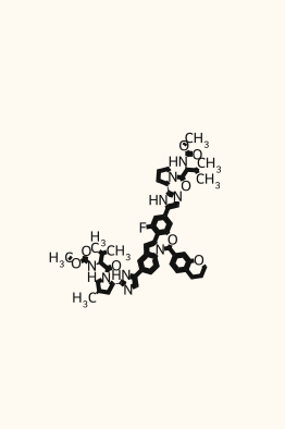 COC(=O)N[C@@H](C(=O)N1CCC[C@H]1c1ncc(-c2cc(F)c3c(c2)OC(c2ccc4c(c2)OCCC4)n2c-3cc3cc(-c4cnc([C@@H]5C[C@@H](C)CN5C(=O)[C@H](NC(=O)OC)C(C)C)[nH]4)ccc32)[nH]1)C(C)C